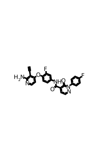 C#Cc1c(Oc2ccc(NC(=O)c3ccnn(-c4ccc(F)cc4)c3=O)cc2F)ccnc1N